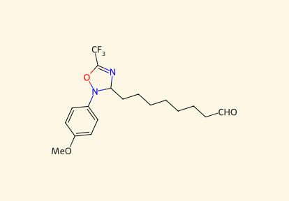 COc1ccc(N2OC(C(F)(F)F)=NC2CCCCCCCC=O)cc1